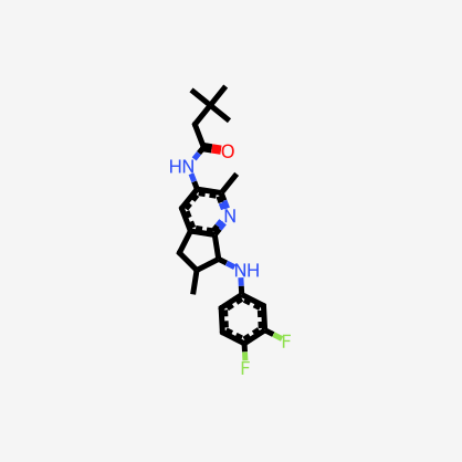 Cc1nc2c(cc1NC(=O)CC(C)(C)C)CC(C)C2Nc1ccc(F)c(F)c1